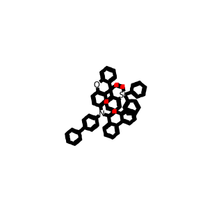 c1ccc(-c2ccc(N(c3ccc4c(c3)C3(c5ccccc5O4)c4ccccc4[Si](c4ccccc4)(c4ccccc4)c4ccccc43)c3cc4ccccc4c4ccccc34)cc2)cc1